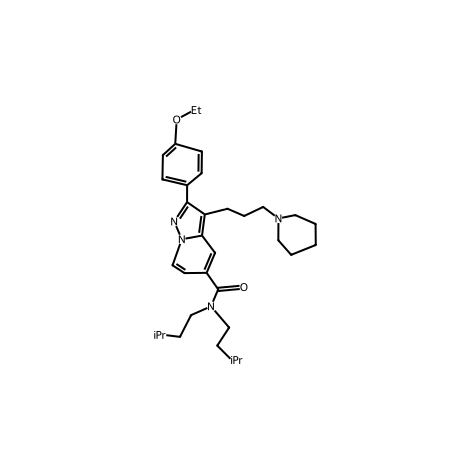 CCOc1ccc(-c2nn3ccc(C(=O)N(CCC(C)C)CCC(C)C)cc3c2CCCN2CCCCC2)cc1